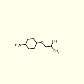 CC(O)COC1CCC(N)CC1